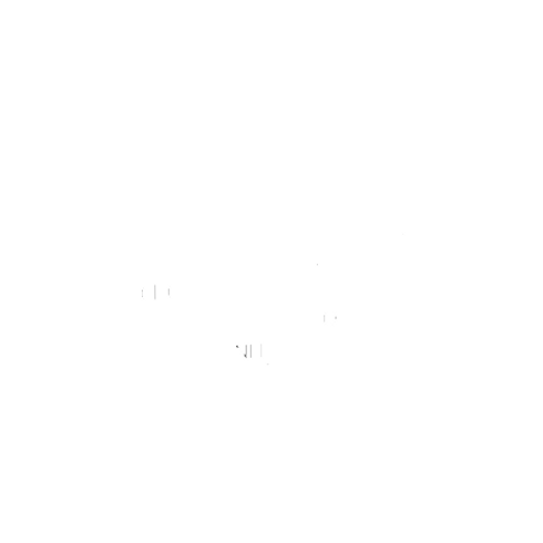 N/C(=C\C(=O)c1ccccc1)C(Cl)(Cl)Cl